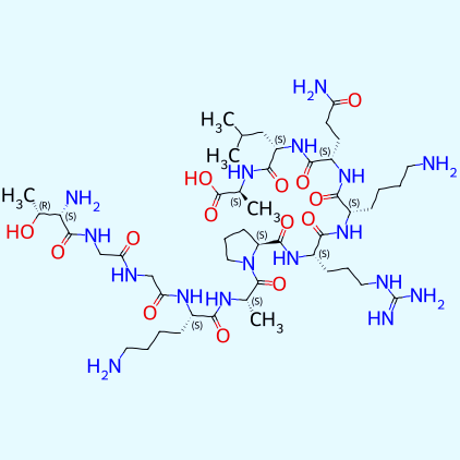 CC(C)C[C@H](NC(=O)[C@H](CCC(N)=O)NC(=O)[C@H](CCCCN)NC(=O)[C@H](CCCNC(=N)N)NC(=O)[C@@H]1CCCN1C(=O)[C@H](C)NC(=O)[C@H](CCCCN)NC(=O)CNC(=O)CNC(=O)[C@@H](N)[C@@H](C)O)C(=O)N[C@@H](C)C(=O)O